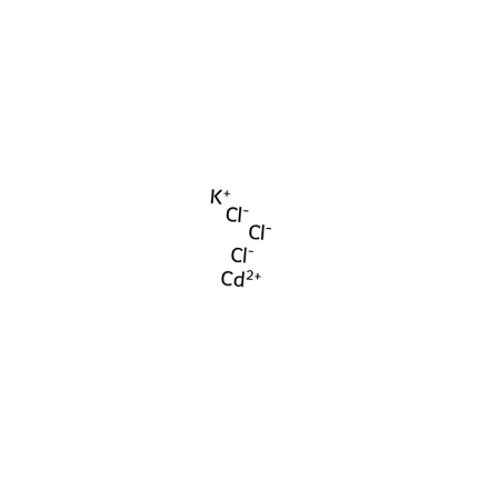 [Cd+2].[Cl-].[Cl-].[Cl-].[K+]